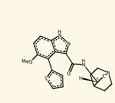 COc1ccc2[nH]nc(C(=O)N[C@@H]3CN4CCC3CC4)c2c1-c1cccs1